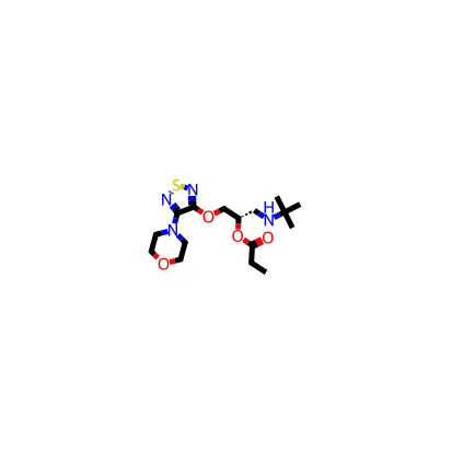 CCC(=O)O[C@@H](CNC(C)(C)C)COc1nsnc1N1CCOCC1